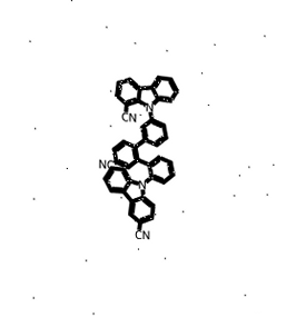 N#Cc1ccc(-c2cccc(-n3c4ccccc4c4cccc(C#N)c43)c2)c(-c2ccccc2-n2c3ccccc3c3cc(C#N)ccc32)c1